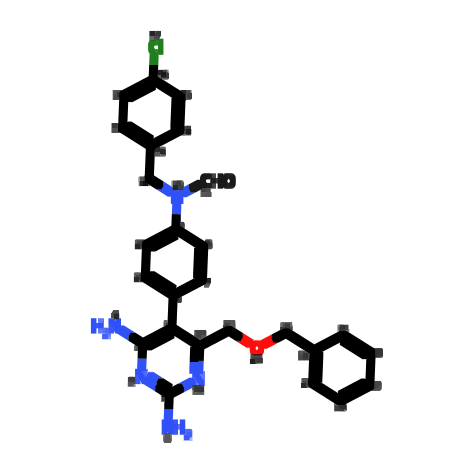 Nc1nc(N)c(-c2ccc(N(C=O)Cc3ccc(Cl)cc3)cc2)c(COCc2ccccc2)n1